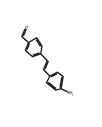 Nc1ccc(C=Cc2ccc(C=O)cc2)cc1